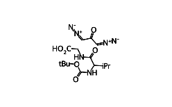 CC(C)C(NC(=O)OC(C)(C)C)C(=O)NCC(=O)O.[N-]=[N+]=CC(=O)C=[N+]=[N-]